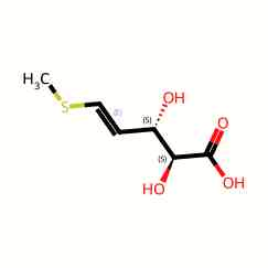 CS/C=C/[C@H](O)[C@H](O)C(=O)O